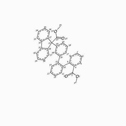 COC(=O)c1ccccc1-c1ccccc1-c1cccc(C2(C(=O)OC)c3ccccc3-c3ccccc32)c1